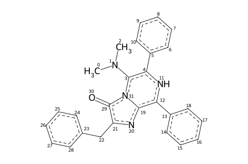 CN(C)c1c(-c2ccccc2)[nH]c(-c2ccccc2)c2nc(Cc3ccccc3)c(=O)n1-2